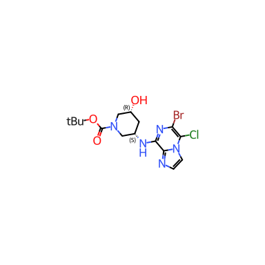 CC(C)(C)OC(=O)N1C[C@H](O)C[C@H](Nc2nc(Br)c(Cl)n3ccnc23)C1